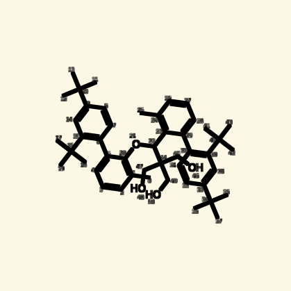 Cc1cccc(-c2ccc(C(C)(C)C)cc2C(C)(C)C)c1OC(c1c(C)cccc1-c1ccc(C(C)(C)C)cc1C(C)(C)C)C(CO)(CO)CO